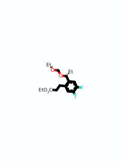 CCOCO[C@H](CC)c1cc(F)c(F)cc1CCC(=O)OCC